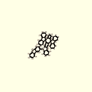 c1ccc2c(c1)-c1ccccc1C21c2ccccc2C2(c3ccccc3-c3ccccc32)c2cc3c(cc21)c1ccccc1n3-c1ccc2sc3ccccc3c2c1